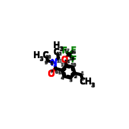 CCc1ccc(C(=O)N(CC)CC)c(OC(F)(F)F)c1